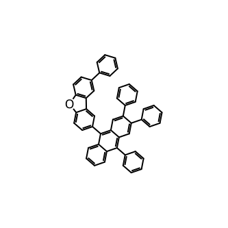 c1ccc(-c2ccc3oc4ccc(-c5c6ccccc6c(-c6ccccc6)c6cc(-c7ccccc7)c(-c7ccccc7)cc56)cc4c3c2)cc1